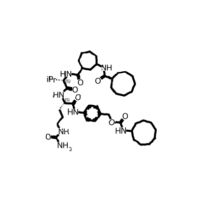 CC(C)[C@H](NC(=O)C1CCCCC(NC(=O)C2CCCCCCCC2)C1)C(=O)N[C@@H](CCCNC(N)=O)C(=O)Nc1ccc(COC(=O)NC2CCCCCCCC2)cc1